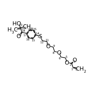 C=CC(=O)OCCOCCOCCSc1ccc(C(=O)C(C)(C)O)cc1